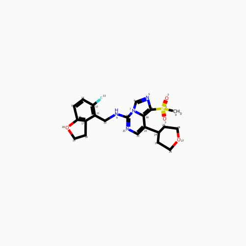 CS(=O)(=O)c1ncn2c(NCc3c(F)ccc4c3CCO4)ncc(C3CCOCC3)c12